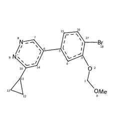 COCOc1cc(-c2cnnc(C3CC3)c2)ccc1Br